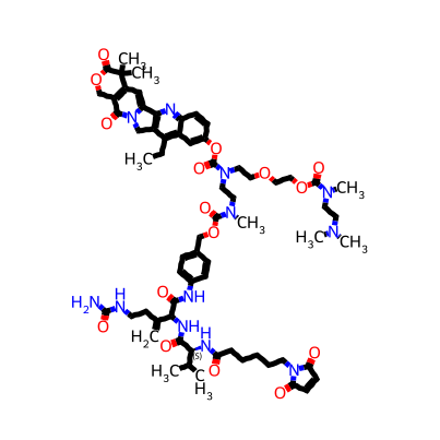 C=C(CCNC(N)=O)C(NC(=O)[C@@H](NC(=O)CCCCCN1C(=O)C=CC1=O)C(C)C)C(=O)Nc1ccc(COC(=O)N(C)CCN(CCOCCOC(=O)N(C)CCN(C)C)C(=O)Oc2ccc3nc4c(c(CC)c3c2)Cn2c-4cc3c(c2=O)COC(=O)C3(C)C)cc1